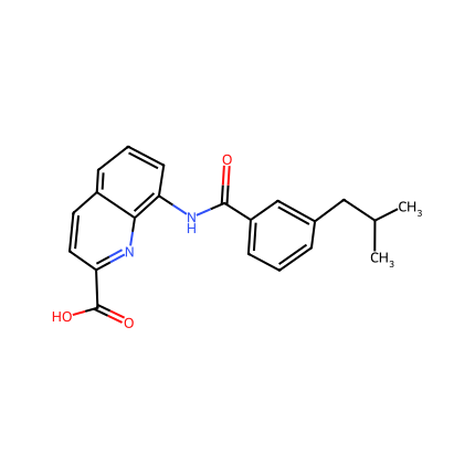 CC(C)Cc1cccc(C(=O)Nc2cccc3ccc(C(=O)O)nc23)c1